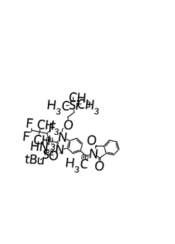 C[C@H](c1ccc2c(c1)nc([C@@H](N[S@@+]([O-])C(C)(C)C)C(F)C(C)(C)C(F)F)n2COCC[Si](C)(C)C)N1C(=O)c2ccccc2C1=O